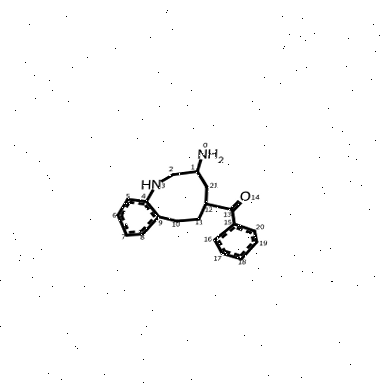 NC1CNc2ccccc2CCC(C(=O)c2ccccc2)C1